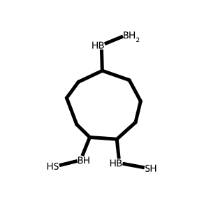 BBC1CCCC(BS)C(BS)CCC1